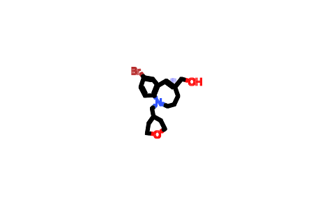 OC/C1=C/c2cc(Br)ccc2N(CC2CCOCC2)CCC1